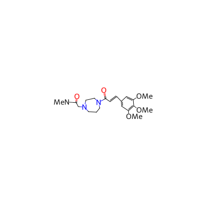 CNC(=O)CN1CCCN(C(=O)C=Cc2cc(OC)c(OC)c(OC)c2)CC1